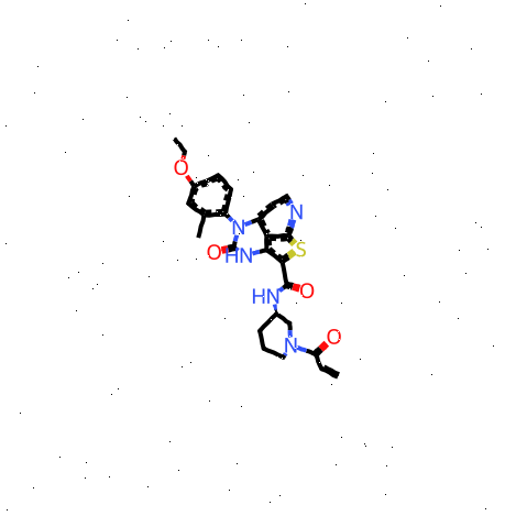 C=CC(=O)N1CCC[C@@H](NC(=O)c2sc3nccc4c3c2NC(=O)N4c2ccc(OCC)cc2C)C1